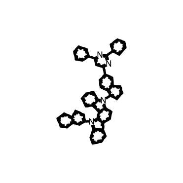 c1ccc(-c2cc(-c3ccc4c(-n5c6ccccc6c6c5ccc5c7ccccc7n(-c7ccc8ccccc8c7)c56)cccc4c3)nc(-c3ccccc3)n2)cc1